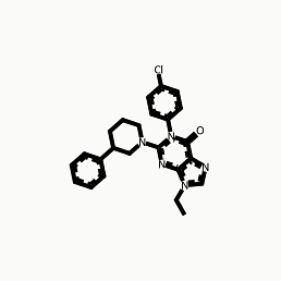 CCn1cnc2c(=O)n(-c3ccc(Cl)cc3)c(N3CCCC(c4ccccc4)C3)nc21